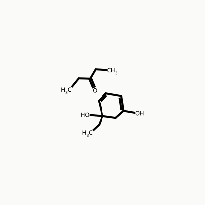 CCC(=O)CC.CCC1(O)C=CC=C(O)C1